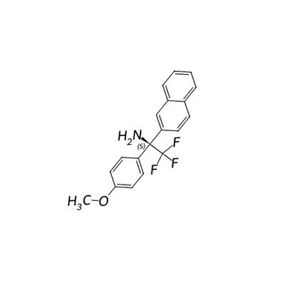 COc1ccc([C@](N)(c2ccc3ccccc3c2)C(F)(F)F)cc1